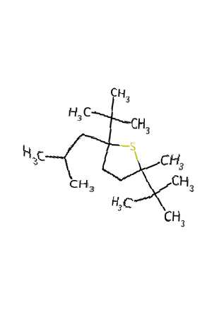 CC(C)CC1(C(C)(C)C)CCC(C)(C(C)(C)C)S1